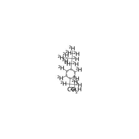 [2H]c1c([2H])c(C([2H])(C(=O)O)C([2H])([2H])[2H])c([2H])c([2H])c1C([2H])([2H])C([2H])(C([2H])([2H])[2H])C([2H])([2H])[2H]